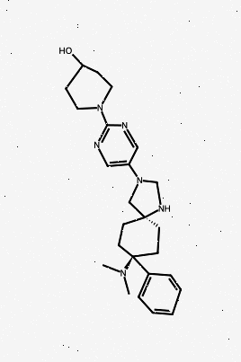 CN(C)[C@]1(c2ccccc2)CC[C@]2(CC1)CN(c1cnc(N3CCC(O)CC3)nc1)CN2